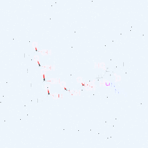 CC(=O)O.CC(=O)O.CC(=O)O.CC(=O)O.CC(=O)O.CC(=O)O.C[C@@H](ONN)[C@H](O)[C@H](O)CO